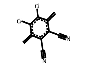 C=c1c(Cl)c(Cl)c(=C)c(C#N)c1C#N